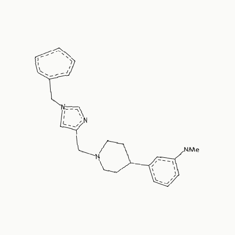 CNc1cccc(C2CCN(Cc3cn(Cc4ccccc4)cn3)CC2)c1